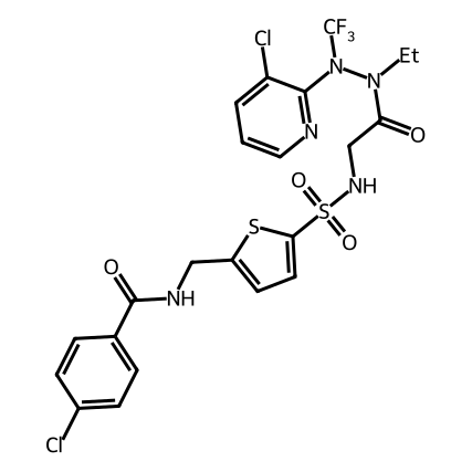 CCN(C(=O)CNS(=O)(=O)c1ccc(CNC(=O)c2ccc(Cl)cc2)s1)N(c1ncccc1Cl)C(F)(F)F